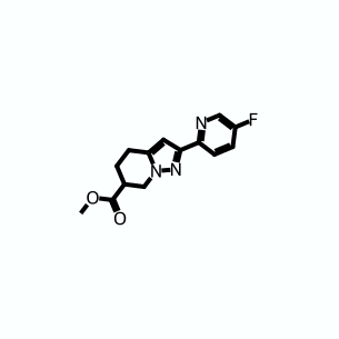 COC(=O)C1CCc2cc(-c3ccc(F)cn3)nn2C1